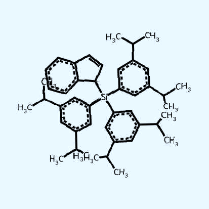 CC(C)c1cc(C(C)C)cc([Si]([C]2C=Cc3ccccc32)(c2cc(C(C)C)cc(C(C)C)c2)c2cc(C(C)C)cc(C(C)C)c2)c1